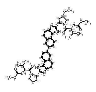 COC(=O)NC(C(=O)N1CCC[C@H]1c1nc2ccc3cc(-c4ccc5c(ccc6nc([C@@H]7C[C@H](SC)CN7C(=O)[C@@H](NC(=O)OC)C(C)C)[nH]c65)c4)ccc3c2[nH]1)C(C)C